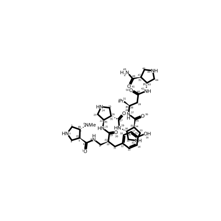 CN[C@H]1CNC[C@@H]1C(=O)NC[C@H](Cc1ccc(O)cc1)C(=O)N[C@H]1CNC[C@@H]1C(=O)N[C@H]1CNC[C@@H]1C(=O)N[C@H](CC(=O)N[C@H]1CNC[C@@H]1C(N)=O)C(C)C